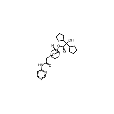 O=C(C[N+]12CCC(CC1)[C@@H](OC(=O)C(O)(C1CCCC1)C1CCCC1)C2)Nc1ccncn1